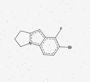 Fc1c(Br)ccc2c1cc1n2CCC1